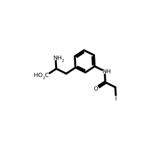 NC(Cc1cccc(NC(=O)CI)c1)C(=O)O